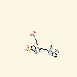 C\C(=C/C=C/C(C)=[N+](\C)c1ccccc1C)N(CCCCCC(=O)O)c1ccc(S(=O)(=O)O)cc1C